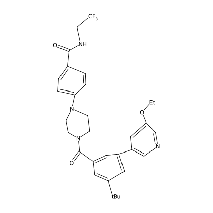 CCOc1cncc(-c2cc(C(=O)N3CCN(c4ccc(C(=O)NCC(F)(F)F)cc4)CC3)cc(C(C)(C)C)c2)c1